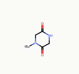 CC(C)(C)N1CC(=O)NCC1=O